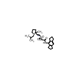 CC(C)CN1CCCC1(C)/C=C/S(=O)(=O)NC(=O)Nc1c2c(cc3c1CCC3)CCC2